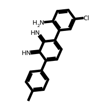 Cc1ccc(C2=CC=C(c3cc(Cl)ccc3N)C(=N)C2=N)cc1